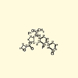 C[S+]([O-])N[C@H]1[C@@H](F)CN(C(=O)C2CCO2)[C@H]1Cc1cccc(-c2cccc(Cl)c2)c1F